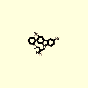 Brc1ccc2c(c1)c1cc(Br)ccc1n2CC1(COc2ccccc2)N=N1